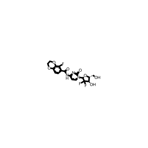 O=C(Nc1ccn(C2O[C@H](CO)[C@@H](O)C2(F)F)c(=O)n1)c1ccc2c(c1F)OCCO2